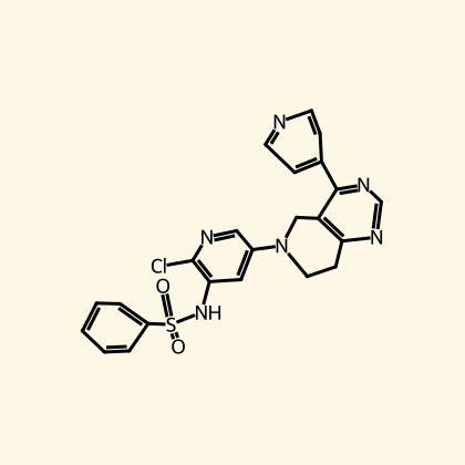 O=S(=O)(Nc1cc(N2CCc3ncnc(-c4ccncc4)c3C2)cnc1Cl)c1ccccc1